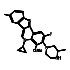 COc1c(N2CCNC(C)C2)c(F)cc2c3nc4ccc(C)cc4c-3cn(C3CC3)c12